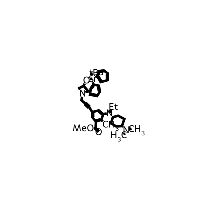 CCN(c1cc(C#CCN2CC(O[Si](c3ccccc3)(c3ccccc3)C(C)(C)C)C2)cc(C(=O)OC)c1C)[C@H]1CC[C@H](N(C)C)CC1